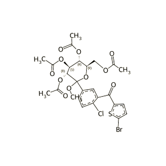 COC1(c2ccc(Cl)c(C(=O)c3ccc(Br)s3)c2)O[C@H](COC(C)=O)[C@@H](OC(C)=O)[C@H](OC(C)=O)[C@H]1OC(C)=O